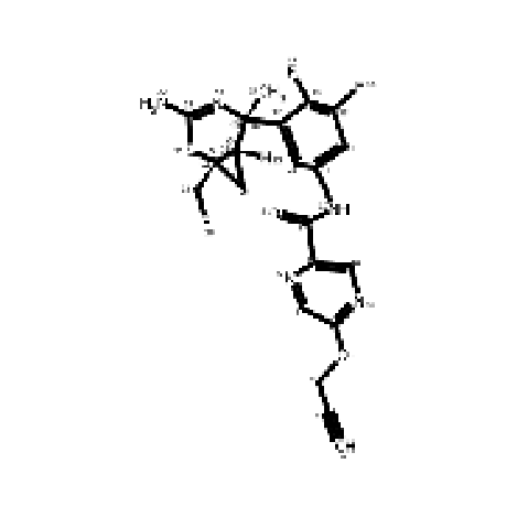 C#CCOc1cnc(C(=O)Nc2cc(F)c(F)c([C@@]3(C)N=C(N)S[C@@]4(CF)C[C@H]43)c2)cn1